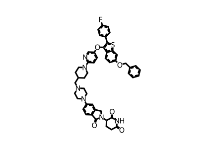 O=C1CCC(N2Cc3cc(N4CCN(CC5CCN(c6ccc(Oc7c(-c8ccc(F)cc8)sc8cc(OCc9ccccc9)ccc78)cn6)CC5)CC4)ccc3C2=O)C(=O)N1